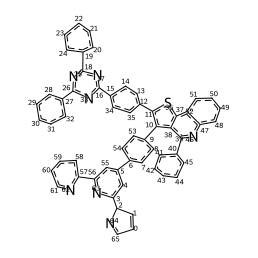 C1=CC(c2cc(-c3ccc(-c4c(-c5ccc(-c6nc(-c7ccccc7)nc(-c7ccccc7)n6)cc5)sc5c4c(-c4ccccc4)nc4ccccc45)cc3)cc(-c3ccccn3)n2)N=C1